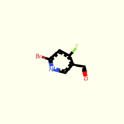 O=Cc1cnc(Br)cc1F